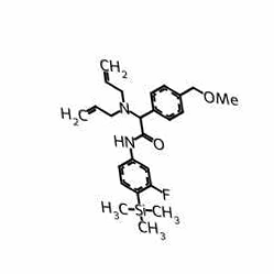 C=CCN(CC=C)C(C(=O)Nc1ccc([Si](C)(C)C)c(F)c1)c1ccc(COC)cc1